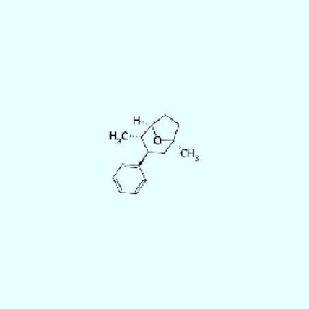 C[C@@H]1[C@H]2CC[C@@](C)(C[C@H]1c1ccccc1)O2